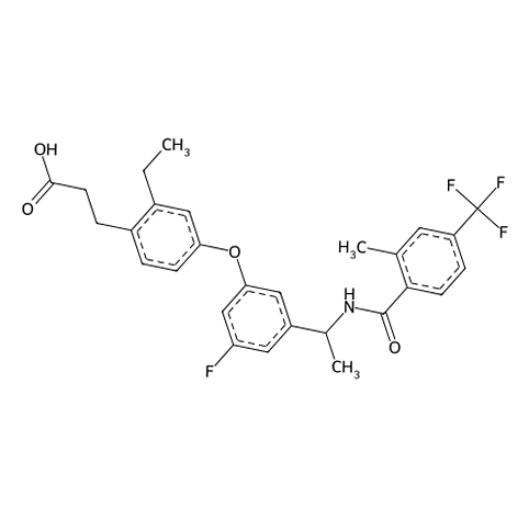 CCc1cc(Oc2cc(F)cc(C(C)NC(=O)c3ccc(C(F)(F)F)cc3C)c2)ccc1CCC(=O)O